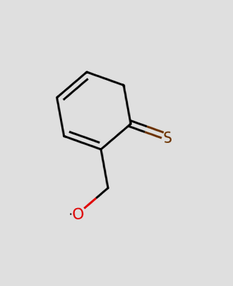 [O]CC1=CC=CCC1=S